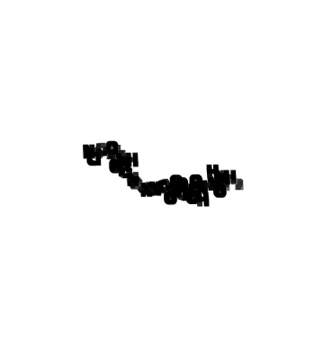 CC(C)[C@H](N)C(=O)NCCNC(=O)OCN1C(=O)CCC(N2C(=O)c3ccc(N4CCN(CC5CCN(c6ccc(C(=O)NC7C(C)(C)C(Oc8ccc(C#N)c(Cl)c8)C7(C)C)cc6)CC5)CC4)cc3C2=O)C1=O